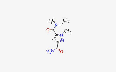 CN(CC(F)(F)F)C(=O)c1[c]c(C(N)=O)nn1C